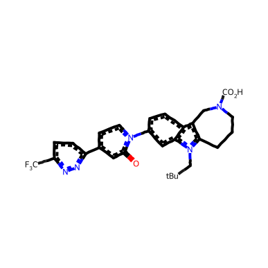 CC(C)(C)Cn1c2c(c3ccc(-n4ccc(-c5ccc(C(F)(F)F)nn5)cc4=O)cc31)CN(C(=O)O)CCC2